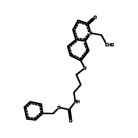 O=CCn1c(=O)ccc2ccc(OCCCNC(=O)OCc3ccccc3)cc21